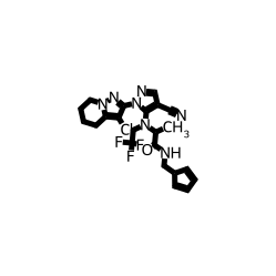 CC(C(=O)NCC1C=CC=C1)N(CC(F)(F)F)c1c(C#N)cnn1-c1nn2c(c1Cl)CCCC2